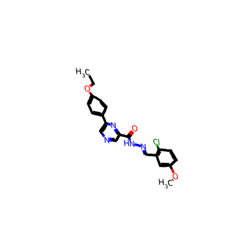 CCOc1ccc(-c2cncc(C(=O)NN=Cc3cc(OC)ccc3Cl)n2)cc1